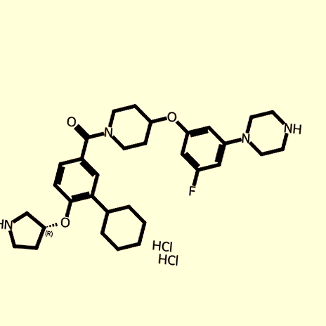 Cl.Cl.O=C(c1ccc(O[C@@H]2CCNC2)c(C2CCCCC2)c1)N1CCC(Oc2cc(F)cc(N3CCNCC3)c2)CC1